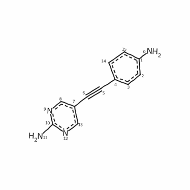 Nc1ccc(C#Cc2cnc(N)nc2)cc1